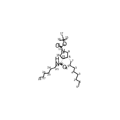 CCCCCCCC[C@H]1CN(C(=O)OC(C)(C)C)C[C@H]1C(=O)NCCCCCC